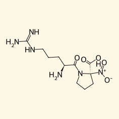 N=C(N)NCCC[C@H](N)C(=O)N1CCC[C@]1(C(=O)O)[N+](=O)[O-]